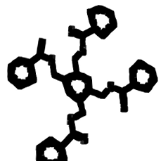 C=C(SCc1cc(CSC(=S)c2ccccc2)c(CSC(=S)c2ccccc2)cc1CSC(=S)c1ccccc1)c1ccccc1